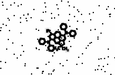 CC(C)c1cc(N(c2ccccc2)c2ccccc2)c2cc3c4c(cc(N(c5ccccc5)c5ccccc5)c5ccc1c2c54)CC3(C)C